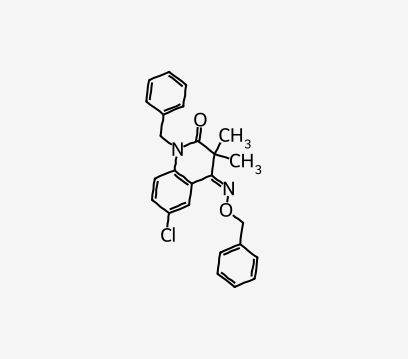 CC1(C)C(=O)N(Cc2ccccc2)c2ccc(Cl)cc2C1=NOCc1ccccc1